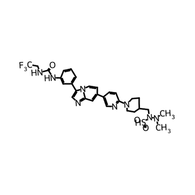 CN(C)N(CC1CCN(c2ccc(-c3ccn4c(-c5cccc(NC(=O)NCC(F)(F)F)c5)cnc4c3)cn2)CC1)[SH](=O)=O